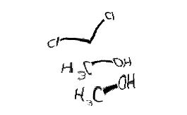 CO.CO.ClCCl